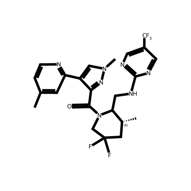 Cc1ccnc(-c2cn(C)nc2C(=O)N2CC(F)(F)C[C@@H](C)C2CNc2ncc(C(F)(F)F)cn2)c1